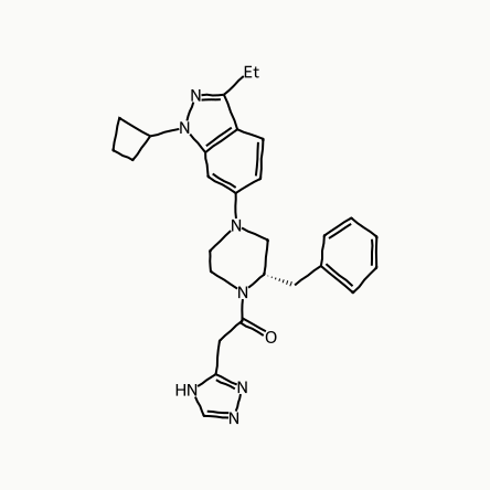 CCc1nn(C2CCC2)c2cc(N3CCN(C(=O)Cc4nnc[nH]4)[C@@H](Cc4ccccc4)C3)ccc12